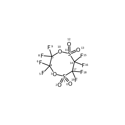 O=S1(=O)OC(F)(F)C(F)(F)OS(=O)(=O)C(F)(F)C1(F)F